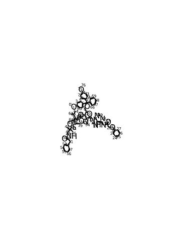 COc1ccc(C(OCC2OC(n3cnc4c(NC(=O)COc5ccccc5)ncnc43)C(OC)C2OP(OCCSC(=O)C(C)(C)CNC(=O)Cc2ccccc2)N(C(C)C)C(C)C)(c2ccccc2)c2ccc(OC)cc2)cc1